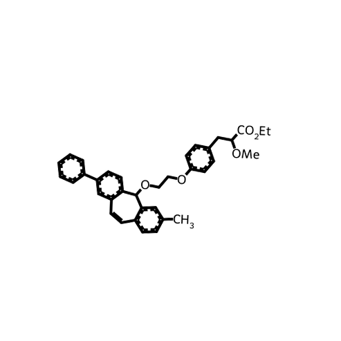 CCOC(=O)C(Cc1ccc(OCCOC2c3ccc(-c4ccccc4)cc3C=Cc3ccc(C)cc32)cc1)OC